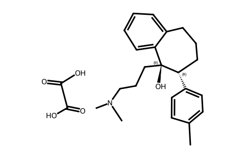 Cc1ccc([C@H]2CCCc3ccccc3[C@@]2(O)CCCN(C)C)cc1.O=C(O)C(=O)O